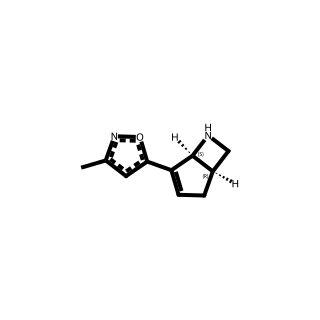 Cc1cc(C2=CC[C@@H]3CN[C@H]23)on1